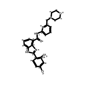 O=C(Nc1cccc(CN2CCOCC2)n1)c1cccc2[nH]c(-c3ccc(Cl)cc3C(F)(F)F)nc12